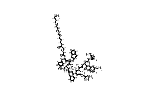 CC(C)C[C@H](CC(=O)[C@H](Cc1ccc2ccccc2c1)NC(=O)[C@@H](CC(=O)COCC(=O)CCCCOCCOCCOCCCN)Cc1ccc(O)cc1)C(=O)N[C@@H](Cc1ccccc1)C(=O)C[C@@H](CCCNC(=N)N)C(=O)N(C)[C@@H](C)C(=O)C[C@@H](CCCNC(=N)N)C(=O)N[C@@H](CC(N)=O)C(N)=O